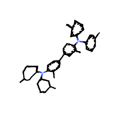 Cc1cccc(N(c2cccc(C)c2)c2ccc(-c3ccc(N(C4CCCC(C)C4)C4CCCC(C)C4)c(C)c3)cc2C)c1